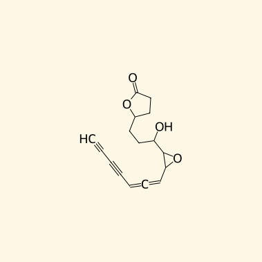 C#CC#CC=C=CC1OC1C(O)CCC1CCC(=O)O1